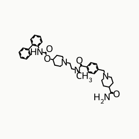 CN(CCN1CCC(OC(=O)Nc2ccccc2-c2ccccc2)CC1)C(=O)c1ccc(CN2CCC(C(N)=O)CC2)cc1